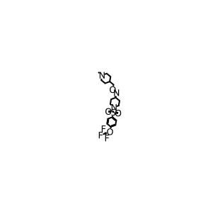 CN1CCC(CON=C2CCN(S(=O)(=O)c3ccc(OC(F)(F)F)cc3)CC2)CC1